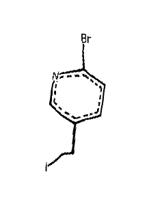 Brc1ccc(CI)cn1